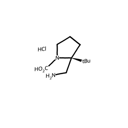 CC(C)(C)[C@]1(CN)CCCN1C(=O)O.Cl